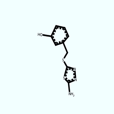 Nc1nnc(SCc2cccc(O)c2)s1